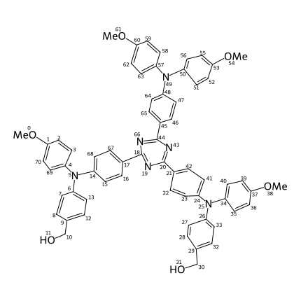 COc1ccc(N(c2ccc(CO)cc2)c2ccc(-c3nc(-c4ccc(N(c5ccc(CO)cc5)c5ccc(OC)cc5)cc4)nc(-c4ccc(N(c5ccc(OC)cc5)c5ccc(OC)cc5)cc4)n3)cc2)cc1